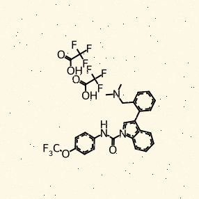 CN(C)Cc1ccccc1-c1cn(C(=O)Nc2ccc(OC(F)(F)F)cc2)c2ccccc12.O=C(O)C(F)(F)F.O=C(O)C(F)(F)F